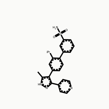 Cc1[nH]nc(-c2ccncc2)c1-c1ccc(-c2cccc(S(N)(=O)=O)c2)c(C(C)C)c1